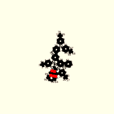 CC(C)(C)c1ccc(N2B3c4sc5cc6c(cc5c4N(c4ccc(C(C)(C)C)cc4-c4ccccc4)c4c3c(cc3c4oc4ccccc43)-c3cc4c(cc32)sc2ccc(N(c3ccc(C(C)(C)C)cc3)c3ccc(C(C)(C)C)cc3)cc24)C(C)(C)CCC6(C)C)cc1